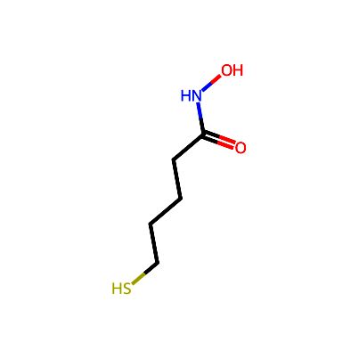 O=C(CCCCS)NO